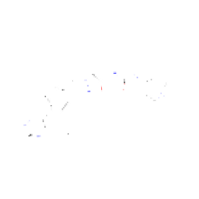 Cc1ncnc(C)c1-c1ccc(C[n+]2cc([N-]C(=O)Nc3ccnc(C(F)(F)F)c3)on2)cc1